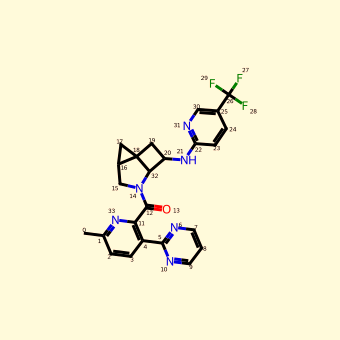 Cc1ccc(-c2ncccn2)c(C(=O)N2CC3CC34CC(Nc3ccc(C(F)(F)F)cn3)C24)n1